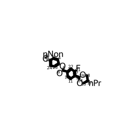 CCCCCCCCCOc1ccc(OC(=O)c2ccc(C3OCC(CCC)CO3)c(F)c2)cc1